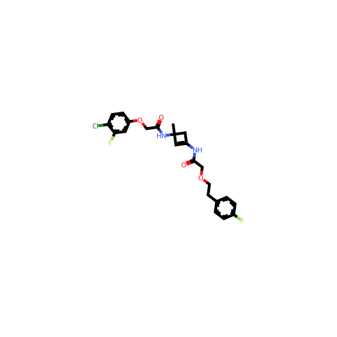 CC1(NC(=O)COc2ccc(Cl)c(F)c2)C=C(NC(=O)COCCc2ccc(F)cc2)C1